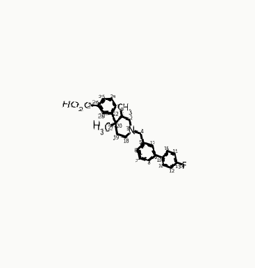 CC1CN(Cc2cccc(-c3ccc(F)cc3)c2)CCC1(C)c1cccc(C(=O)O)c1